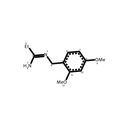 CCC(N)=NCc1ccc(OC)cc1OC